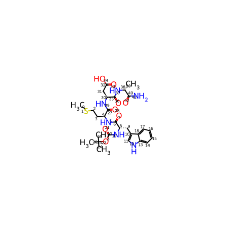 CSCC[C@H](NC(=O)[C@H](Cc1c[nH]c2ccccc12)NC(=O)OC(C)(C)C)C(=O)N[C@@H](CC(=O)O)C(=O)N[C@H](C)C(N)=O